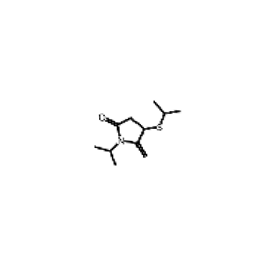 C=C1C(SC(C)C)CC(=O)N1C(C)C